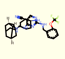 N#Cc1cnc(NCc2ccccc2OC(F)(F)F)nc1NC[C@]12CC3C[C@H](C1)[C@@H](N[C@H]1CC[C@H](N)CC1)[C@@H](C3)C2